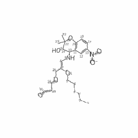 CCCCCCOC(=CN[C@@H]1c2cc([N+](=O)[O-])ccc2OC(C)(C)[C@H]1O)COCC=C=O